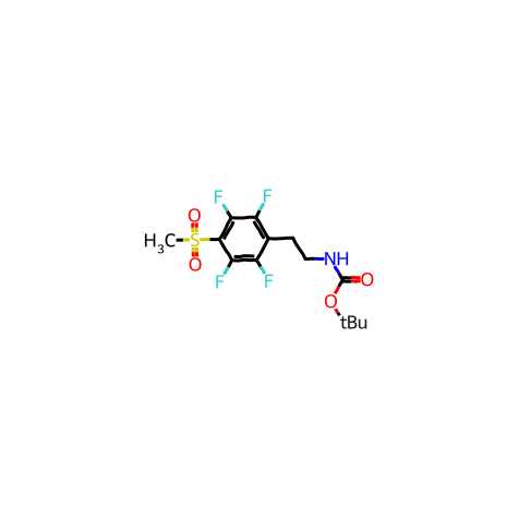 CC(C)(C)OC(=O)NCCc1c(F)c(F)c(S(C)(=O)=O)c(F)c1F